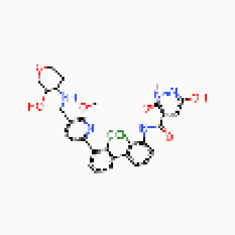 COc1nc(-c2cccc(-c3cccc(NC(=O)c4cc(O)nn(C)c4=O)c3Cl)c2Cl)ccc1CN[C@@H]1CCOC[C@@H]1O